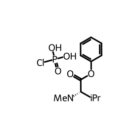 CN[C@H](C(=O)Oc1ccccc1)C(C)C.O=P(O)(O)Cl